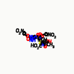 CC(O)[C@H]1C(=O)N2C(C(=O)O)=C(S[C@H]3C[C@@H](C(=O)N4CCN(C(=N)NC(=O)OCc5ccc([N+](=O)[O-])cc5)CC4)N(C(=O)OCc4ccc([N+](=O)[O-])cc4)C3)[C@H](C)[C@H]12